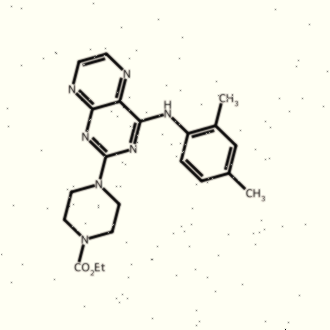 CCOC(=O)N1CCN(c2nc(Nc3ccc(C)cc3C)c3nccnc3n2)CC1